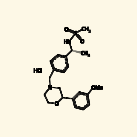 COc1cccc(C2CN(Cc3ccc([C@@H](C)NS(C)(=O)=O)cc3)CCO2)c1.Cl